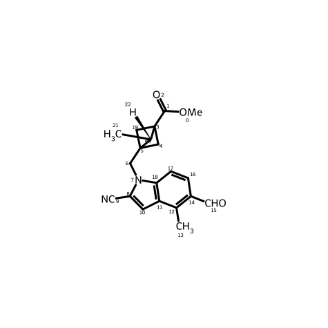 COC(=O)C12CC(Cn3c(C#N)cc4c(C)c(C=O)ccc43)(C1)[C@@H]2C